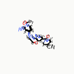 CC(C)C(=O)n1ccc(N2CCOc3cc(C(=O)N4CCC(C#N)CC4)cnc32)cc1=N